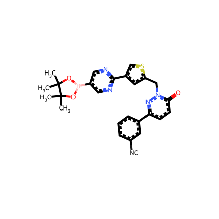 [C-]#[N+]c1cccc(-c2ccc(=O)n(Cc3cc(-c4ncc(B5OC(C)(C)C(C)(C)O5)cn4)cs3)n2)c1